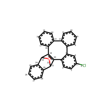 Clc1ccc2c(c1)-c1ccccc1-c1ccccc1C1=C2C2OC1c1ccccc12